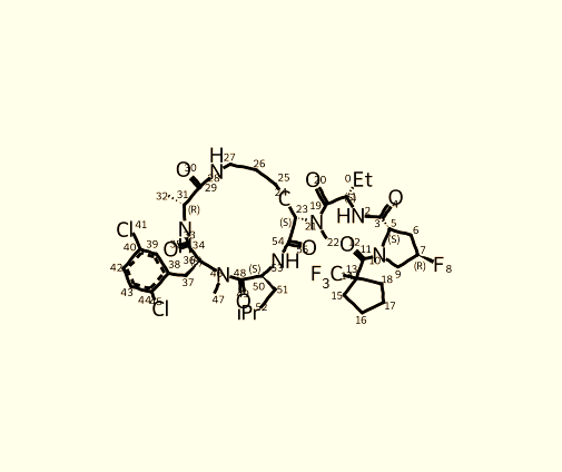 CC[C@H](NC(=O)[C@@H]1C[C@@H](F)CN1C(=O)C1(C(F)(F)F)CCCC1)C(=O)N(C)[C@H]1CCCCNC(=O)[C@@H](C)NC(=O)[C@H](Cc2cc(Cl)ccc2Cl)N(C)C(=O)[C@H](CC(C)C)NC1=O